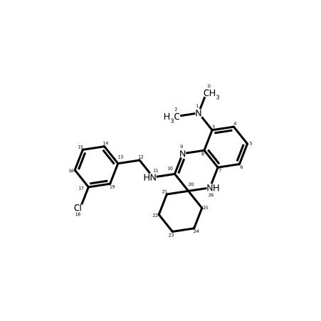 CN(C)c1cccc2c1N=C(NCc1cccc(Cl)c1)C1(CCCCC1)N2